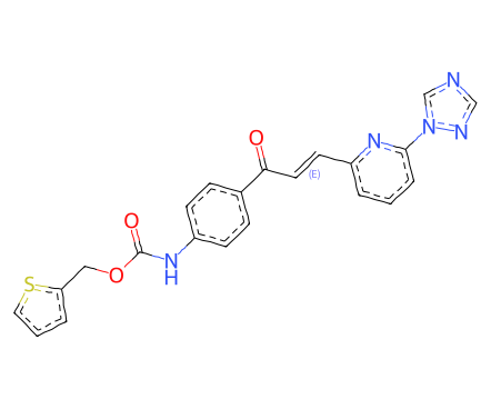 O=C(Nc1ccc(C(=O)/C=C/c2cccc(-n3cncn3)n2)cc1)OCc1cccs1